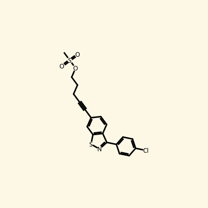 CS(=O)(=O)OCCCC#Cc1ccc2c(-c3ccc(Cl)cc3)nsc2c1